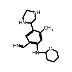 Cc1cc(NC2CCCCO2)c(C=N)cc1C1CNCCN1